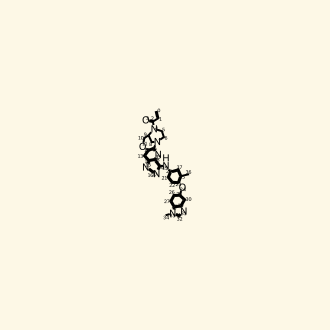 C=CC(=O)N1CCN2CC1COc1cc3ncnc(Nc4ccc(Oc5ccc6c(c5)ncn6C)c(C)c4)c3nc12